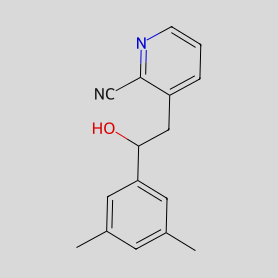 Cc1cc(C)cc(C(O)Cc2cccnc2C#N)c1